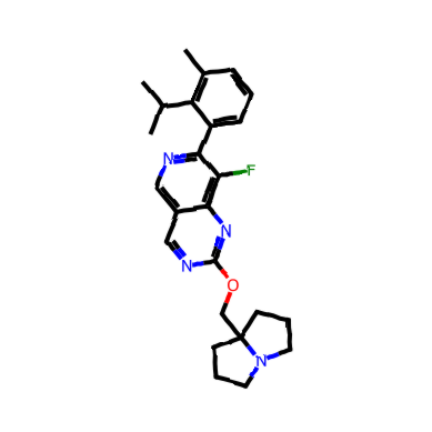 Cc1cccc(-c2ncc3cnc(OCC45CCCN4CCC5)nc3c2F)c1C(C)C